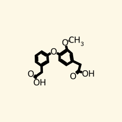 COc1cc(CC(=O)O)ccc1Oc1cccc(CC(=O)O)c1